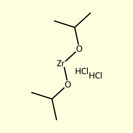 CC(C)[O][Zr][O]C(C)C.Cl.Cl